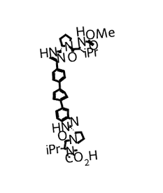 COC(=O)N[C@H](C(=O)N1CCC[C@H]1c1nc(-c2ccc(-c3ccc(-c4ccc5[nH]c([C@@H]6CCCN6C(=O)[C@H](C(C)C)N(C)C(=O)O)nc5c4)cc3)cc2)c[nH]1)C(C)C